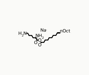 CCCCCCCCC=CCCCCCCCC(=O)OC(=O)[C@@H](N)CCCCN.[Na]